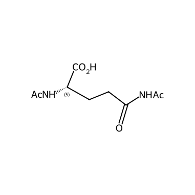 CC(=O)NC(=O)CC[C@H](NC(C)=O)C(=O)O